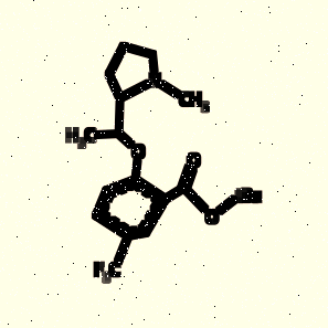 CC(Oc1ccc(C(F)(F)F)cc1C(=O)OC(C)(C)C)C1CCCN1C